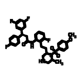 COc1ccc(S(=O)(=O)N2C(C)CNCC2CCc2c(F)cccc2NC(=O)C[C@@H](c2ccc(F)cc2)c2cc(F)cc(F)c2)cc1